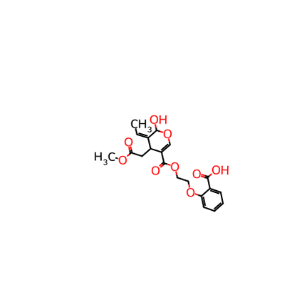 C/C=C1\C(O)OC=C(C(=O)OCCOc2ccccc2C(=O)O)C1CC(=O)OC